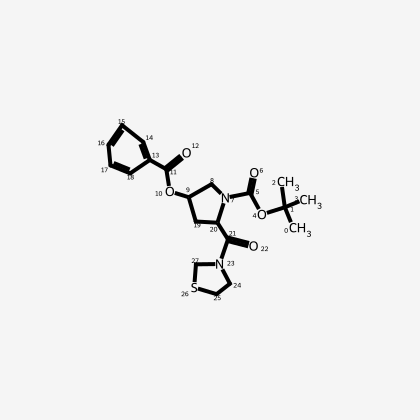 CC(C)(C)OC(=O)N1CC(OC(=O)c2ccccc2)CC1C(=O)N1CCSC1